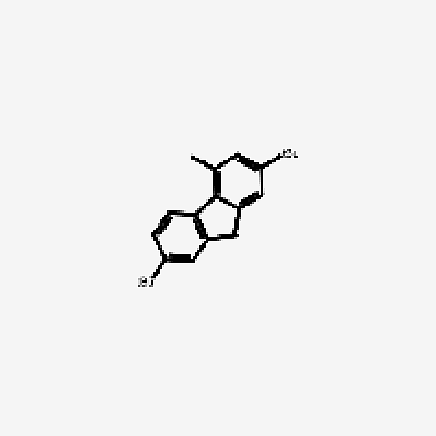 Cc1cc(C(C)(C)C)cc2c1-c1ccc(C(C)(C)C)cc1[CH]2